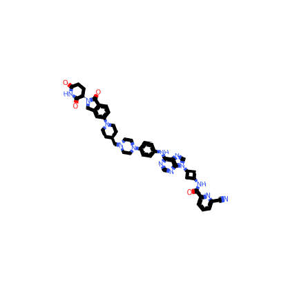 N#Cc1cccc(C(=O)NC2CC(n3cnc4c(Nc5ccc(N6CCN(CC7CCN(c8ccc9c(c8)CN([C@H]8CCC(=O)NC8=O)C9=O)CC7)CC6)cc5)ncnc43)C2)n1